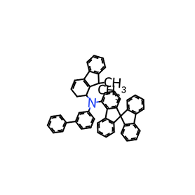 CC1(C)C2=C(C=CCC2N(c2cccc(-c3ccccc3)c2)c2cccc3c2-c2ccccc2C32c3ccccc3-c3ccccc32)c2ccccc21